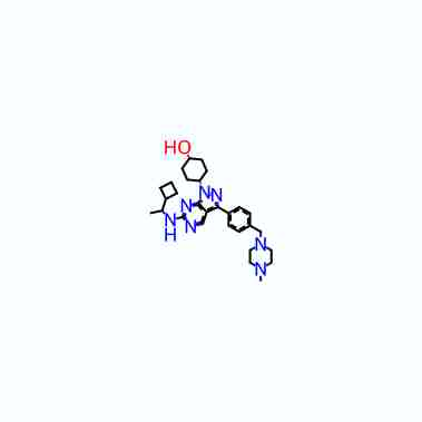 CC(Nc1ncc2c(-c3ccc(CN4CCN(C)CC4)cc3)nn([C@H]3CC[C@H](O)CC3)c2n1)C1CCC1